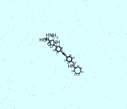 NC[C@H](NC(=O)c1ccc(C#Cc2ccc(CNC3CCCCCC3)cc2)cc1)C(=O)NO